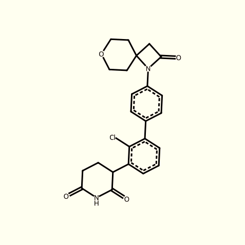 O=C1CCC(c2cccc(-c3ccc(N4C(=O)CC45CCOCC5)cc3)c2Cl)C(=O)N1